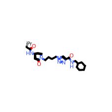 CC(C)CC(=O)Nc1ccn(CCCCn2cc(C(=O)NCC3CCCCC3)nn2)c(=O)c1